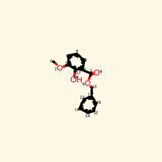 COc1cccc(C(=O)OCc2ccccc2)c1O